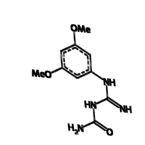 COc1cc(NC(=N)NC(N)=O)cc(OC)c1